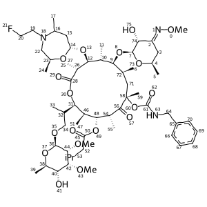 CO/N=C1\C[C@@H](C)O[C@@H](O[C@@H]2[C@@H](C)[C@H](O[C@H]3CC(C)N(CCF)C[C@H](C)O3)[C@@H](C)C(=O)O[C@H](C(C)CO[C@@H]3O[C@H](C)[C@@H](O)[C@@H](OC)[C@H]3OC)[C@H](C)[C@@H](OC(=O)CC(C)C)[C@@H](C)C(=O)[C@@](C)(OC(=O)NCc3ccccc3)C[C@@H]2C)[C@@H]1O